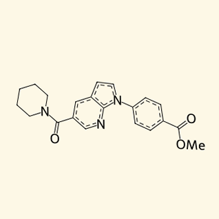 COC(=O)c1ccc(-n2ccc3cc(C(=O)N4CCCCC4)cnc32)cc1